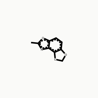 Cc1nc2c3c(ccc2o1)OCO3